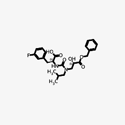 CC(C)CN(C[C@H](O)C(=O)OCc1ccccc1)C(=O)N[C@@H](Cc1cccc(F)c1)C(=O)O